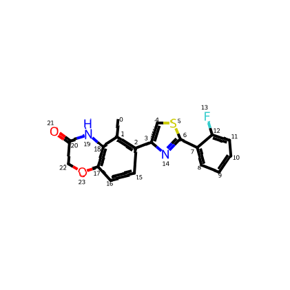 Cc1c(-c2csc(-c3ccccc3F)n2)ccc2c1NC(=O)CO2